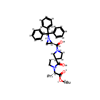 CCCCOC(=O)[C@H](C(C)C)N1CC[C@]2(CCN(C(=O)[C@H]3CN3C(c3ccccc3)(c3ccccc3)c3ccccc3)C2)C1=O